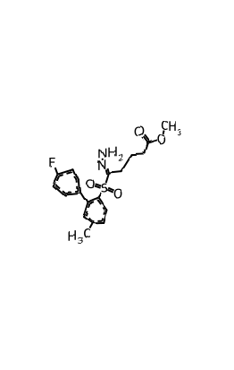 COC(=O)CCCC(=NN)S(=O)(=O)c1ccc(C)cc1-c1ccc(F)cc1